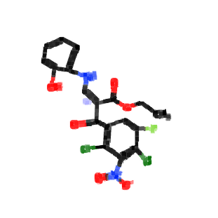 CCOC(=O)/C(=C\Nc1ccccc1O)C(=O)c1cc(F)c(Cl)c([N+](=O)[O-])c1Cl